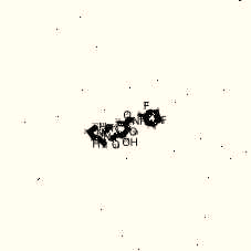 O=C(NCc1ccc(F)cc1F)C1CN2C[C@@H]3N(C[C@H]4CCCN43)C(=O)C2=C(O)C1=O